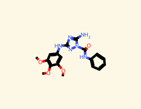 COc1cc(Nc2nc(N)n(C(=O)Nc3ccccc3)n2)cc(OC)c1OC